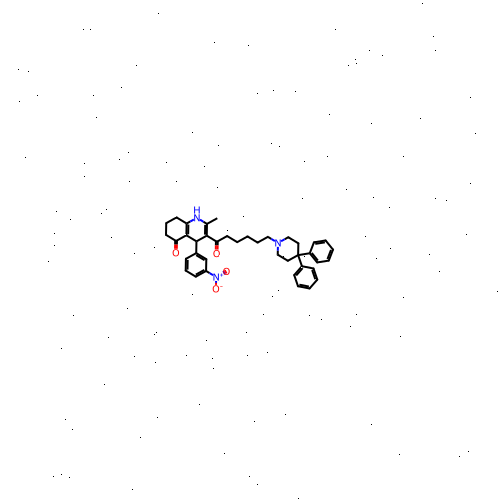 CC1=C(C(=O)CCCCCN2CCC(c3ccccc3)(c3ccccc3)CC2)C(c2cccc([N+](=O)[O-])c2)C2=C(CCCC2=O)N1